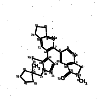 CN1Cc2ncc(-c3nc4c(cc3-c3cnn(CC5(C)CCCC5)c3F)CCC4)cc2C1=O